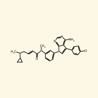 CN(C(=O)/C=C/CN(C)C1CC1)c1cccc(-n2cc(-c3ccc(Cl)cc3)c3c(N)ncnc32)c1